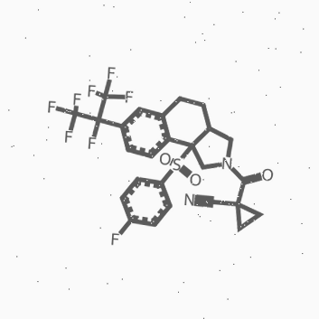 N#CC1(C(=O)N2CC3CCc4cc(C(F)(C(F)(F)F)C(F)(F)F)ccc4C3(S(=O)(=O)c3ccc(F)cc3)C2)CC1